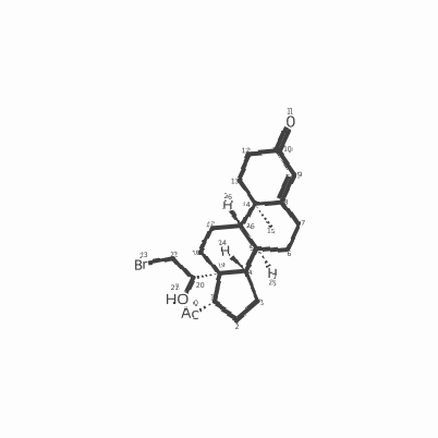 CC(=O)[C@H]1CC[C@H]2[C@@H]3CCC4=CC(=O)CC[C@]4(C)[C@H]3CC[C@]12C(O)CBr